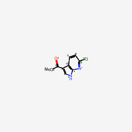 COC(=O)c1c[nH]c2nc(Cl)ccc12